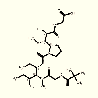 CC[C@H](C)[C@@H]([C@@H](CC(=O)N1CCC[C@H]1[C@H](OC)[C@@H](C)C(=O)NCC(=O)O)OC)N(C)C(=O)CNC(=O)C(C)(C)N